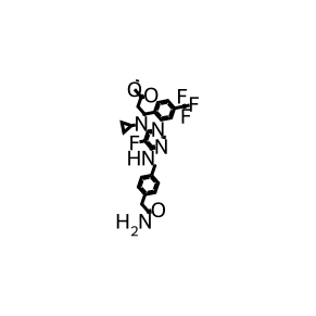 COC(=O)CC(c1ccc(C(F)(F)F)cc1)N(c1ncnc(NCc2ccc(CC(N)=O)cc2)c1F)C1CC1